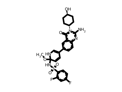 COC1(NS(=O)(=O)c2ccc(F)cc2F)C=CC(c2ccc3nc(N)n([C@H]4CC[C@H](O)CC4)c(=O)c3c2)=CN1